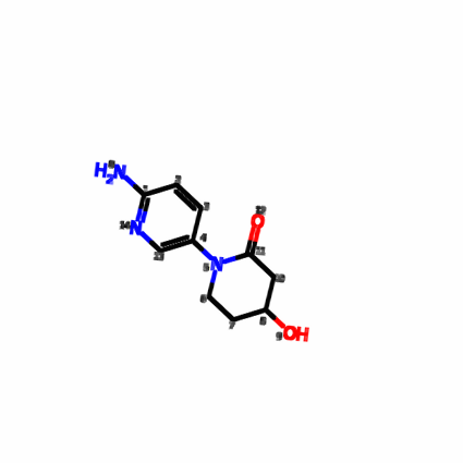 Nc1ccc(N2CCC(O)CC2=O)cn1